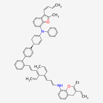 C=C/C=C\c1c(C)oc2c(N(C3=CC[C@H](c4ccc(-c5ccccc5/C=C/C=C(C=C)/C(/C=C\C)=C/C=C/Nc5cccc6c5OC(CC)=C(C=C)C6)cc4)C=C3)c3ccccc3)cccc12